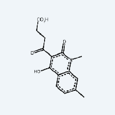 Cc1ccc2c(O)c(C(=O)CCC(=O)O)c(=O)n(C)c2c1